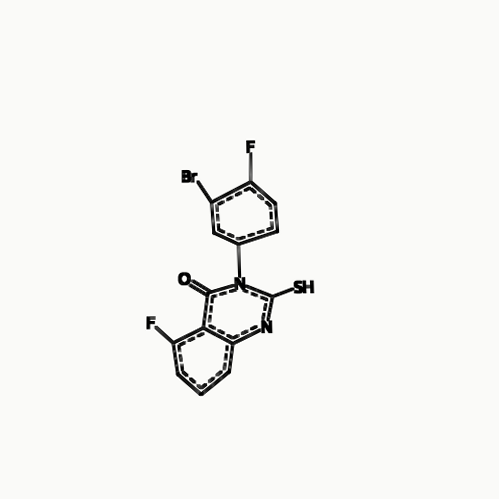 O=c1c2c(F)cccc2nc(S)n1-c1ccc(F)c(Br)c1